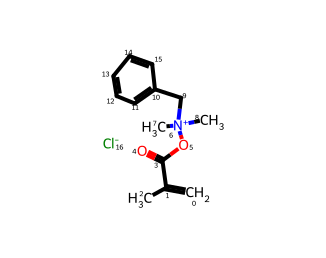 C=C(C)C(=O)O[N+](C)(C)Cc1ccccc1.[Cl-]